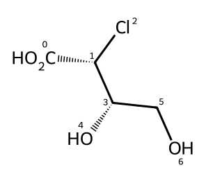 O=C(O)[C@H](Cl)[C@@H](O)CO